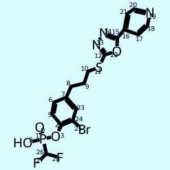 O=P(O)(Oc1ccc(CCCSc2nnc(-c3ccncc3)o2)cc1Br)C(F)F